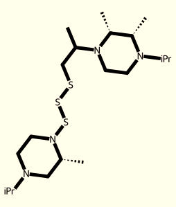 CC(C)N1CCN(SSSCC(C)N2CCN(C(C)C)[C@@H](C)[C@H]2C)[C@H](C)C1